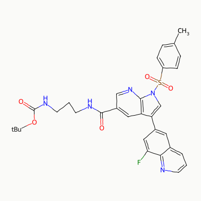 Cc1ccc(S(=O)(=O)n2cc(-c3cc(F)c4ncccc4c3)c3cc(C(=O)NCCCNC(=O)OC(C)(C)C)cnc32)cc1